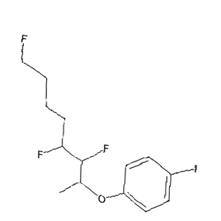 CC(Oc1ccc(I)cc1)C(F)C(F)CCCCF